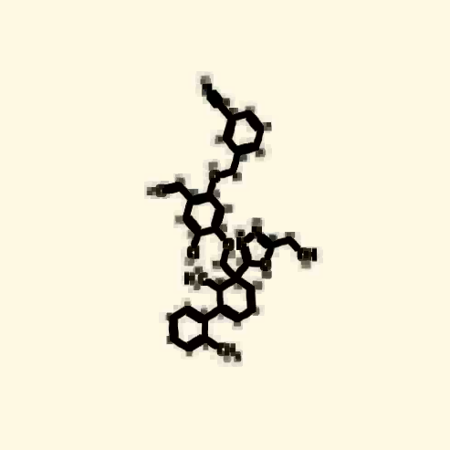 Cc1ccccc1C1=CC=CC(COc2cc(OCc3cccc(C#N)c3)c(C=O)cc2Cl)(c2nnc(CO)o2)C1C